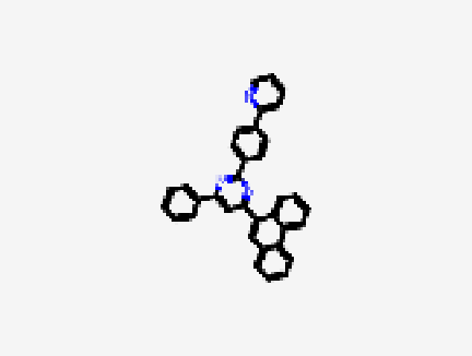 c1ccc(-c2cc(-c3cc4ccccc4c4ccccc34)nc(-c3ccc(-c4ccccn4)cc3)n2)cc1